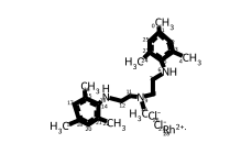 Cc1cc(C)c(NCCN(C)CCNc2c(C)cc(C)cc2C)c(C)c1.[Cl-].[Cl-].[Rh+2]